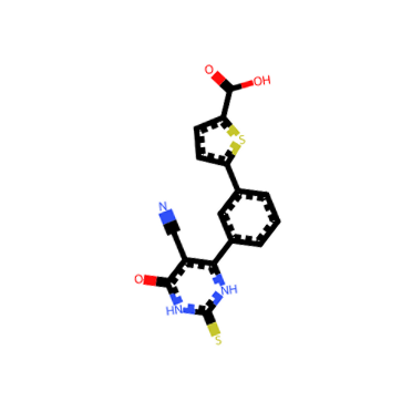 N#Cc1c(-c2cccc(-c3ccc(C(=O)O)s3)c2)[nH]c(=S)[nH]c1=O